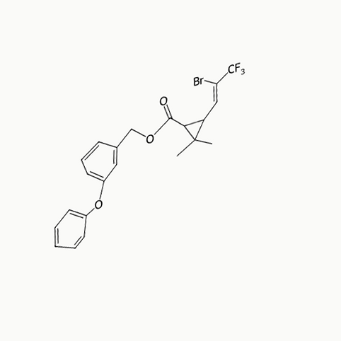 CC1(C)C(C=C(Br)C(F)(F)F)C1C(=O)OCc1cccc(Oc2ccccc2)c1